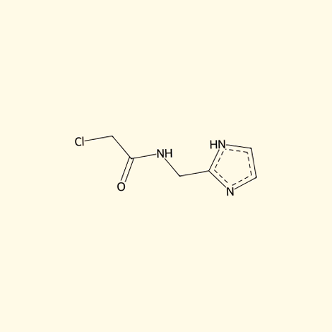 O=C(CCl)NCc1ncc[nH]1